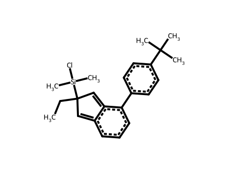 CCC1([Si](C)(C)Cl)C=c2cccc(-c3ccc(C(C)(C)C)cc3)c2=C1